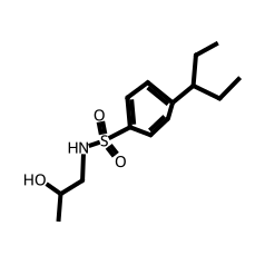 CCC(CC)c1ccc(S(=O)(=O)NCC(C)O)cc1